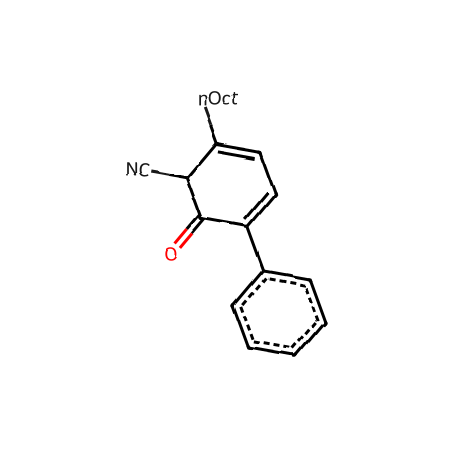 CCCCCCCCC1=CC=C(c2ccccc2)C(=O)C1C#N